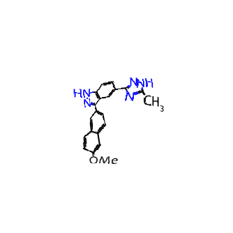 COc1ccc2cc(-c3n[nH]c4ccc(-c5n[nH]c(C)n5)cc34)ccc2c1